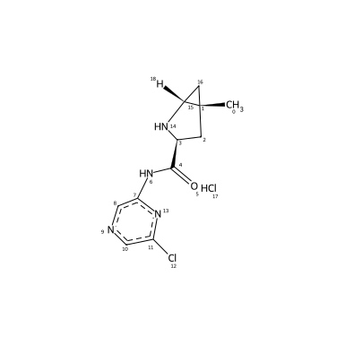 C[C@@]12C[C@@H](C(=O)Nc3cncc(Cl)n3)N[C@@H]1C2.Cl